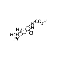 Cc1cc(CNCC(=O)O)cc(Cl)c1Cc1ccc(O)c(C(C)C)c1